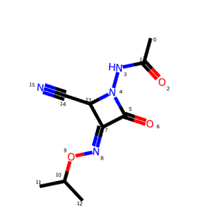 CC(=O)NN1C(=O)/C(=N/OC(C)C)C1C#N